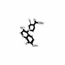 COC(=O)C1CCN(c2c(C#N)cnc3c(F)c(OC)ccc23)C[C@H]1C